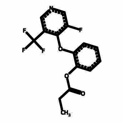 CCC(=O)Oc1ccccc1Oc1c(F)cncc1C(F)(F)F